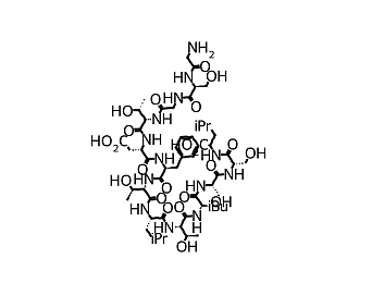 CC[C@H](C)[C@H](NC(=O)[C@@H](NC(=O)[C@H](CC(C)C)NC(=O)[C@@H](NC(=O)[C@H](Cc1ccccc1)NC(=O)[C@H](CC(=O)O)NC(=O)[C@@H](NC(=O)CNC(=O)[C@H](CO)NC(=O)CN)[C@@H](C)O)[C@@H](C)O)[C@@H](C)O)C(=O)N[C@@H](CO)C(=O)N[C@@H](CO)C(=O)N[C@@H](CC(C)C)C(=O)O